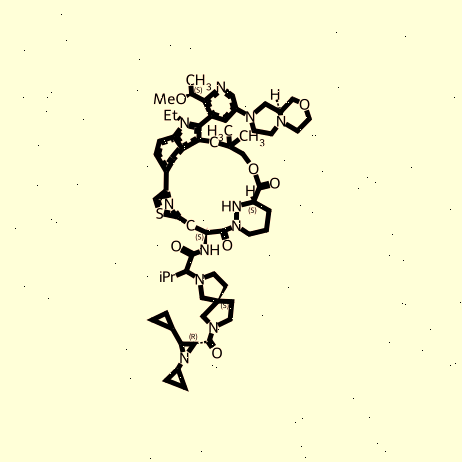 CCn1c(-c2cc(N3CCN4CCOC[C@@H]4C3)cnc2[C@H](C)OC)c2c3cc(ccc31)-c1csc(n1)C[C@H](NC(=O)C(C(C)C)N1CC[C@]3(CCN(C(=O)[C@H]4C(C5CC5)N4C4CC4)C3)C1)C(=O)N1CCC[C@H](N1)C(=O)OCC(C)(C)C2